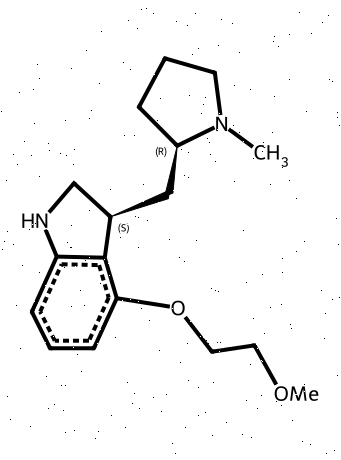 COCCOc1cccc2c1[C@H](C[C@H]1CCCN1C)CN2